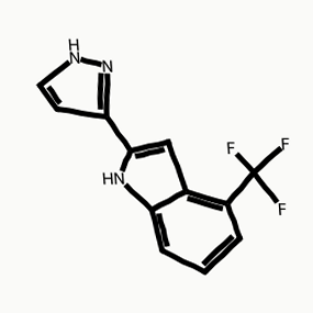 FC(F)(F)c1cccc2[nH]c(-c3cc[nH]n3)cc12